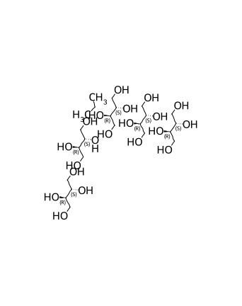 CCC.OC[C@@H](O)[C@@H](O)CO.OC[C@@H](O)[C@@H](O)CO.OC[C@@H](O)[C@@H](O)CO.OC[C@@H](O)[C@@H](O)CO.OC[C@@H](O)[C@@H](O)CO